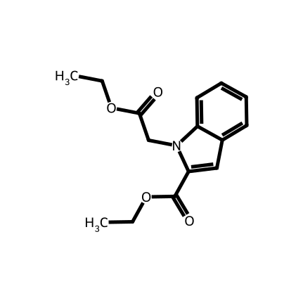 CCOC(=O)Cn1c(C(=O)OCC)cc2ccccc21